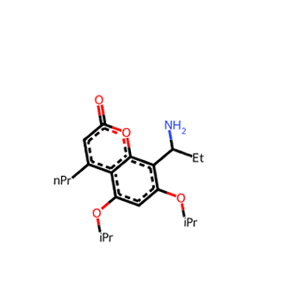 CCCc1cc(=O)oc2c(C(N)CC)c(OC(C)C)cc(OC(C)C)c12